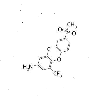 CS(=O)(=O)c1ccc(Oc2c(Cl)cc(N)cc2C(F)(F)F)cc1